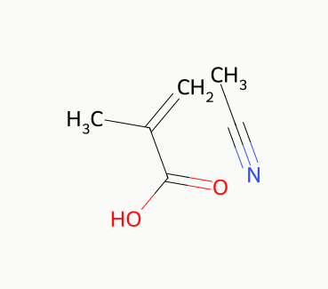 C=C(C)C(=O)O.CC#N